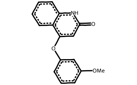 COc1cccc(Oc2cc(=O)[nH]c3ccccc23)c1